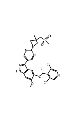 COc1cc2[nH]nc(-c3cnc(N4CC(C)(CS(C)(=O)=O)C4)nc3)c2cc1O[C@H](C)c1c(Cl)cncc1Cl